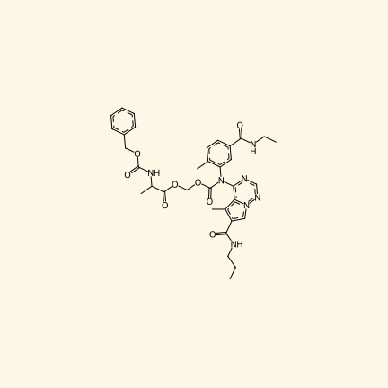 CCCNC(=O)c1cn2ncnc(N(C(=O)OCOC(=O)C(C)NC(=O)OCc3ccccc3)c3cc(C(=O)NCC)ccc3C)c2c1C